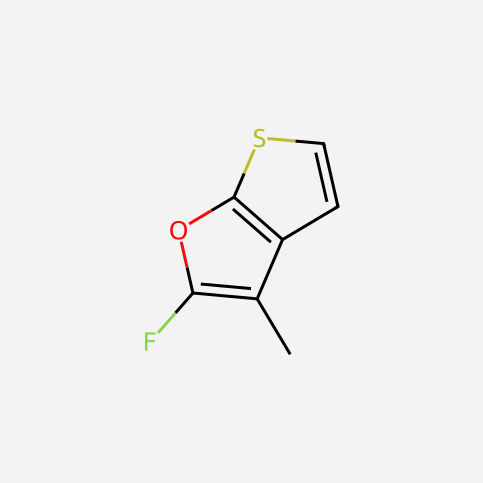 Cc1c(F)oc2sccc12